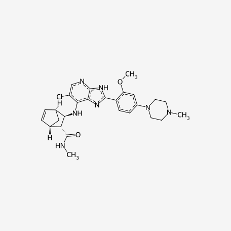 CNC(=O)[C@H]1[C@H](Nc2c(Cl)cnc3[nH]c(-c4ccc(N5CCN(C)CC5)cc4OC)nc23)[C@@H]2C=C[C@@H]1C2